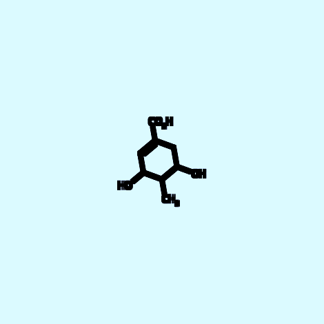 CC1C(O)C=C(C(=O)O)CC1O